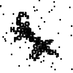 C=CC1=CCC(OC2=CC=C(C3(c4cc(C)ccc4C)C4=C(C=CCC4)C4C=CC(N(C5=CC(F)=C(C6=CCC(F)CC6)CC5F)c5ccc6c(c5)OC5C=C(N(C7=CC8=C(CC7)C7=C(CCC=C7)C8(C7=CCC(OC8=CC=C(C=C)CC8)C=C7)C7=CC(C)=CCC7C)c7cc(F)c(-c8ccc(F)cc8)cc7F)C=CC65)=CC43)CC2)C=C1